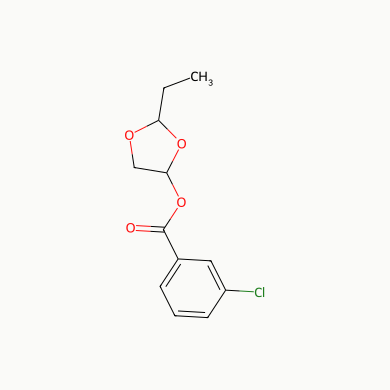 CCC1OCC(OC(=O)c2cccc(Cl)c2)O1